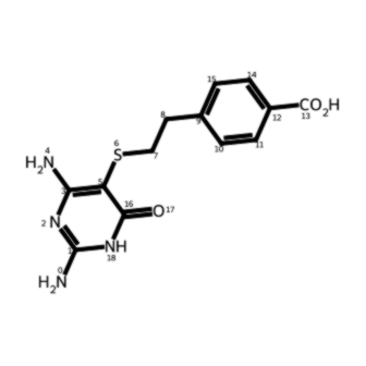 Nc1nc(N)c(SCCc2ccc(C(=O)O)cc2)c(=O)[nH]1